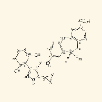 O=C(O)c1ccc2c(c1)Oc1ccc(OCc3c(-c4c(Cl)cccc4Cl)noc3C3CC3)cc1C(F)(F)C2